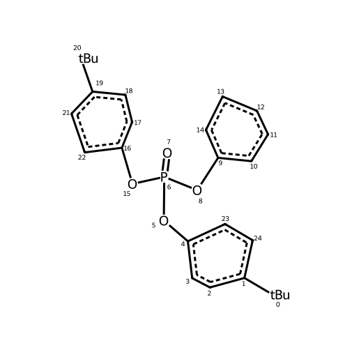 CC(C)(C)c1ccc(OP(=O)(Oc2ccccc2)Oc2ccc(C(C)(C)C)cc2)cc1